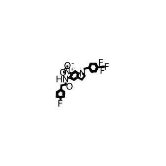 O=C(Cc1ccc(F)cc1)Nc1cc2c(cc1[N+](=O)[O-])N(Cc1ccc(C(F)(F)F)cc1)CC2